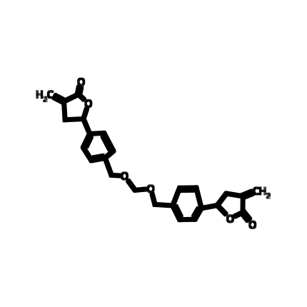 C=C1CC(c2ccc(COCOCc3ccc(C4CC(=C)C(=O)O4)cc3)cc2)OC1=O